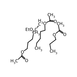 CCCCCOC(C)=O.CCCCOC(C)=O.CCCOC(C)=O.CCOC(C)=O